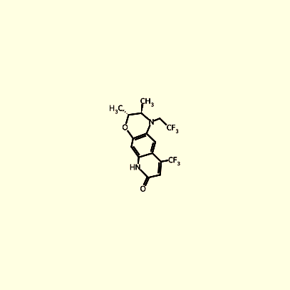 C[C@@H]1[C@@H](C)Oc2cc3[nH]c(=O)cc(C(F)(F)F)c3cc2N1CC(F)(F)F